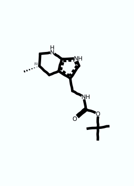 C[C@@H]1CNc2[nH]cc(CNC(=O)OC(C)(C)C)c2C1